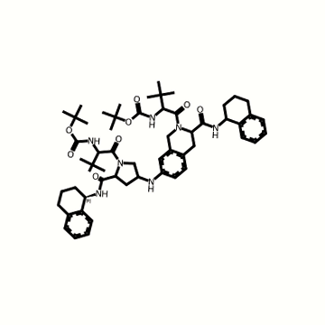 CC(C)(C)OC(=O)NC(C(=O)N1Cc2cc(NC3CC(C(=O)N[C@@H]4CCCc5ccccc54)N(C(=O)C(NC(=O)OC(C)(C)C)C(C)(C)C)C3)ccc2CC1C(=O)NC1CCCc2ccccc21)C(C)(C)C